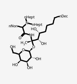 CCCCCCCCCCCCCC[C@@H](O)[C@H](O)[C@@](C)(NC(=O)C(CCCCCCCCC)N(CCCCCCC)CCCCCCC)O[C@@H]1OC(CO)[C@H](O)[C@H](O)[C@H]1O